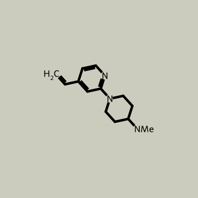 C=Cc1ccnc(N2CCC(NC)CC2)c1